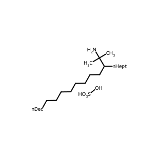 CCCCCCCCCCCCCCCCCCC(CCCCCCC)C(C)(C)N.O=S(=O)(O)O